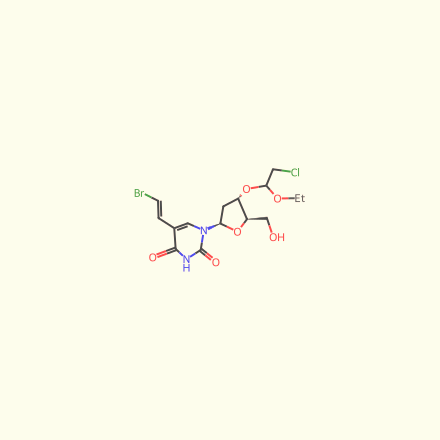 CCOC(CCl)O[C@H]1C[C@H](n2cc(/C=C/Br)c(=O)[nH]c2=O)O[C@@H]1CO